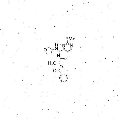 CSc1ncc2c(n1)C(N[C@H]1CCOC1)=NC([C@@H](C)OC(=O)c1ccccc1)=CC2